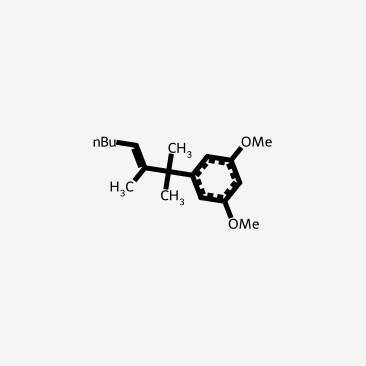 CCCCC=C(C)C(C)(C)c1cc(OC)cc(OC)c1